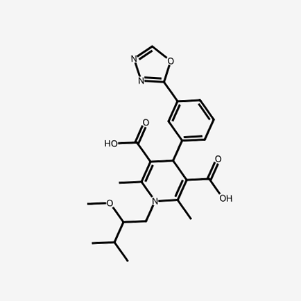 COC(CN1C(C)=C(C(=O)O)C(c2cccc(-c3nnco3)c2)C(C(=O)O)=C1C)C(C)C